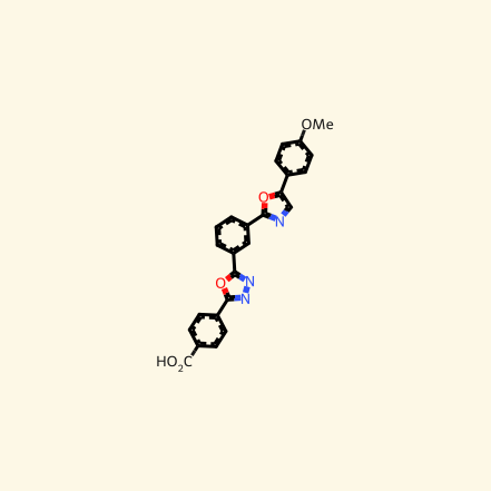 COc1ccc(-c2cnc(-c3cccc(-c4nnc(-c5ccc(C(=O)O)cc5)o4)c3)o2)cc1